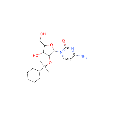 C[Si](C)(OC1C(O)C(CO)OC1n1ccc(N)nc1=O)C1CCCCC1